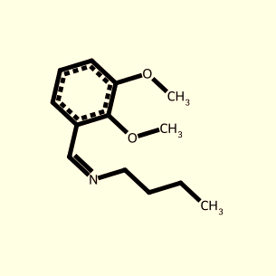 CCCC/N=C\c1cccc(OC)c1OC